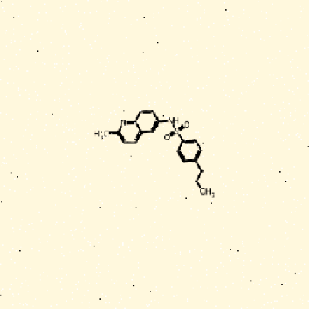 CCCc1ccc(S(=O)(=O)Nc2ccc3nc(C)ccc3c2)cc1